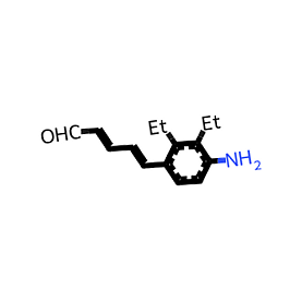 CCc1c(N)ccc(C=CC=CC=O)c1CC